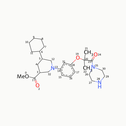 COC(=O)C1CC(C2CCCCC2)CN(c2cccc(OC(C)(C)C(=O)N3CCNCC3)c2)C1